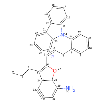 CCCc1c(/C=C\Cc2ccccc2-n2c3ccccc3c3ccccc32)oc2c(N)cc#cc12